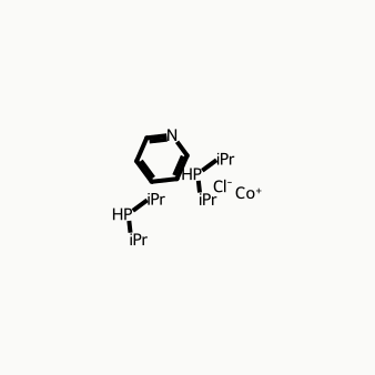 CC(C)PC(C)C.CC(C)PC(C)C.[Cl-].[Co+].c1ccncc1